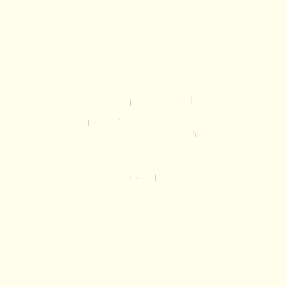 CC(C)CC(=O)O.CC1(C)CCCC(C(=O)O)C1